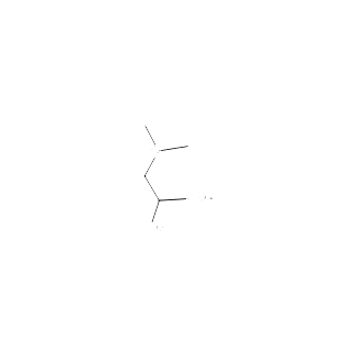 COC(C[SiH](C)C)OC